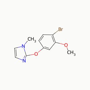 COc1cc(Oc2nccn2C)ccc1Br